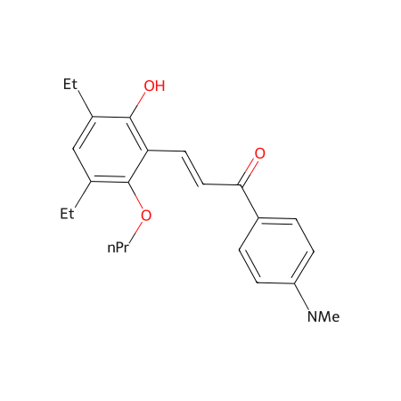 CCCOc1c(CC)cc(CC)c(O)c1C=CC(=O)c1ccc(NC)cc1